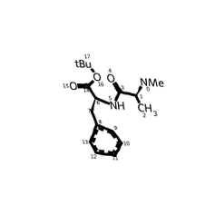 CN[C@@H](C)C(=O)N[C@@H](Cc1ccccc1)C(=O)OC(C)(C)C